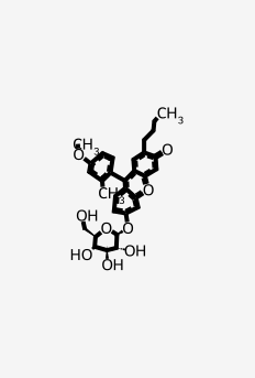 CCCCc1cc2c(-c3ccc(OC)cc3C)c3ccc(O[C@@H]4O[C@H](CO)[C@H](O)[C@H](O)[C@H]4O)cc3oc-2cc1=O